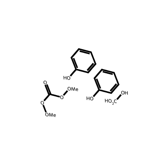 COOC(=O)OOC.O=C(O)O.Oc1ccccc1.Oc1ccccc1